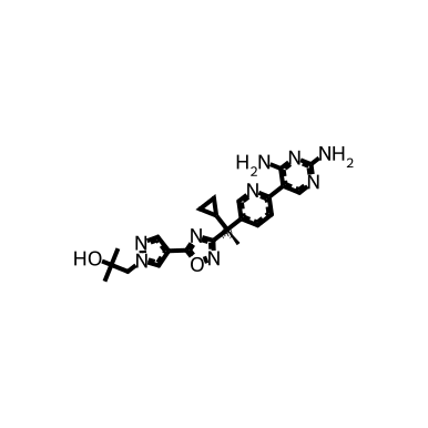 CC(C)(O)Cn1cc(-c2nc([C@@](C)(c3ccc(-c4cnc(N)nc4N)nc3)C3CC3)no2)cn1